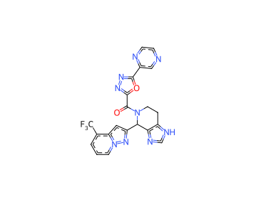 O=C(c1nnc(-c2cnccn2)o1)N1CCc2[nH]cnc2C1c1cc2c(C(F)(F)F)cccn2n1